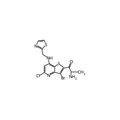 CC(N)C(=O)c1sc2c(NCc3nccs3)cc(Cl)nc2c1Br